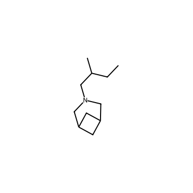 CCC(C)CN1CC2CC(C2)C1